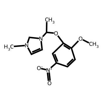 COc1ccc([N+](=O)[O-])cc1OC(C)N1C=CN(C)C1